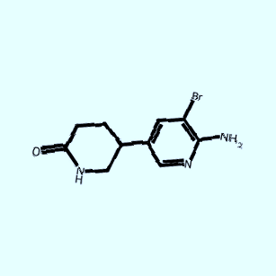 Nc1ncc(C2CCC(=O)NC2)cc1Br